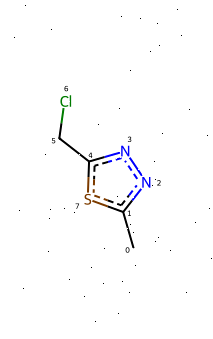 Cc1nnc(CCl)s1